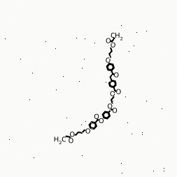 C=CC(=O)OCCCCOc1ccc(C(=O)Cc2ccc(C(=O)OCCCOC(=O)c3ccc(OC(=O)c4ccc(OCCCCOC(=O)C=C)cc4)cc3)cc2)cc1